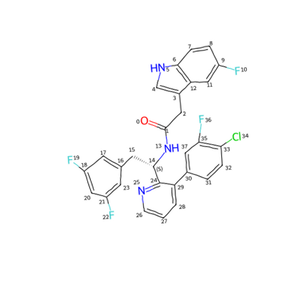 O=C(Cc1c[nH]c2ccc(F)cc12)N[C@@H](Cc1cc(F)cc(F)c1)c1ncccc1-c1ccc(Cl)c(F)c1